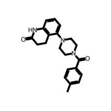 Cc1ccc(C(=O)N2CCN(c3cccc4c3CCC(=O)N4)CC2)cc1